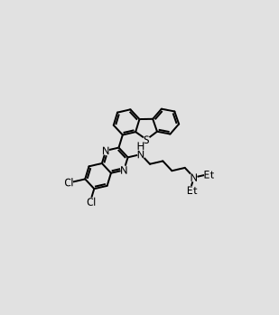 CCN(CC)CCCCNc1nc2cc(Cl)c(Cl)cc2nc1-c1cccc2c1sc1ccccc12